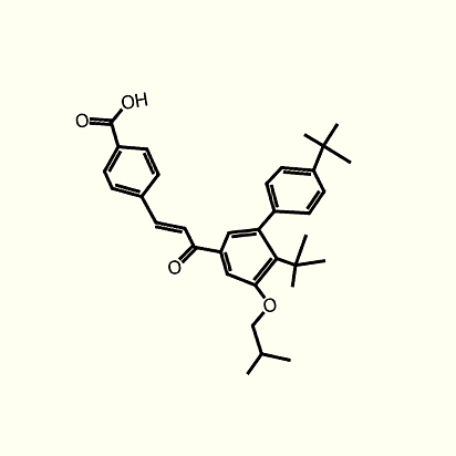 CC(C)COc1cc(C(=O)C=Cc2ccc(C(=O)O)cc2)cc(-c2ccc(C(C)(C)C)cc2)c1C(C)(C)C